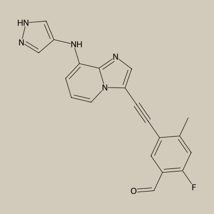 Cc1cc(F)c(C=O)cc1C#Cc1cnc2c(Nc3cn[nH]c3)cccn12